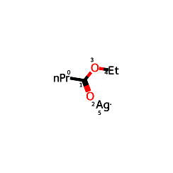 CCCC(=O)OCC.[Ag]